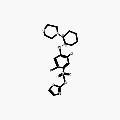 O=S(=O)(Nc1nccs1)c1cc(Cl)c(N[C@H]2CCCC[C@@H]2N2CCOCC2)cc1F